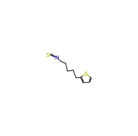 S=C=NCCCCCc1cccs1